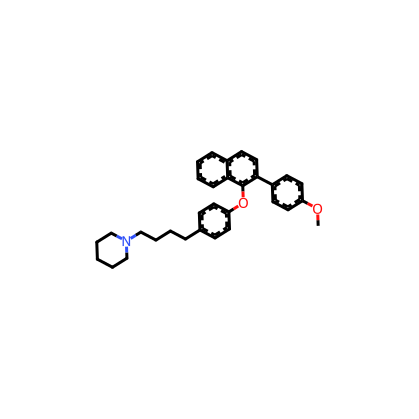 COc1ccc(-c2ccc3ccccc3c2Oc2ccc(CCCCN3CCCCC3)cc2)cc1